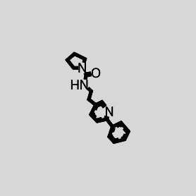 O=C(NCCc1ccc(-c2ccccc2)nc1)N1CCCC1